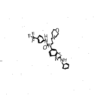 O=C(Nc1ccc(C(F)(F)F)cc1)N(CCN1CCOCC1)c1ccc2nc(NCc3ccccc3)sc2c1